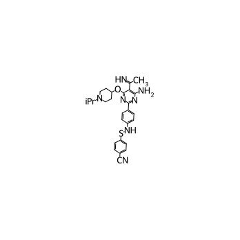 CC(=N)c1c(N)nc(-c2ccc(NSc3ccc(C#N)cc3)cc2)nc1OC1CCN(C(C)C)CC1